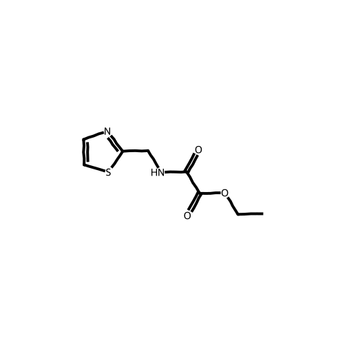 CCOC(=O)C(=O)NCc1nccs1